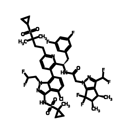 C[C@@H]1c2c(C(F)F)nn(CC(=O)N[C@@H](Cc3cc(F)cc(F)c3)c3nc(CCC(C)(C)S(=O)(=O)C4CC4)ccc3-c3ccc(Cl)c4c(NS(=O)(=O)C5(C)CC5)nn(CC(F)F)c34)c2C(F)(F)[C@@H]1C